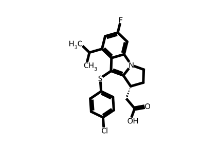 CC(C)c1cc(F)cc2c1c(Sc1ccc(Cl)cc1)c1n2CC[C@@H]1CC(=O)O